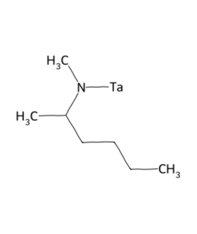 CCCCC(C)[N](C)[Ta]